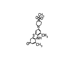 CC1=CC(=O)CC2=C1Nc1c(C)cc(N3CCN(S(C)(=O)=O)CC3)cc1S2